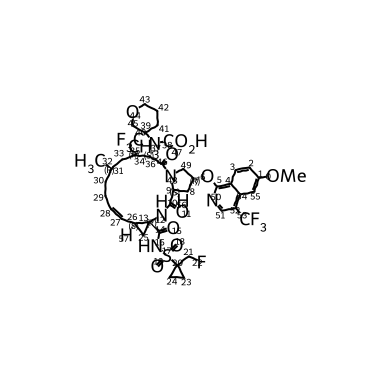 COc1ccc2c(O[C@@H]3C[C@H]4C(=O)N[C@]5(C(=O)NS(=O)(=O)C6(CF)CC6)C[C@H]5C=CCC[C@@H](C)C[C@@H](C)[C@H](N(C(=O)O)C5(C(F)(F)F)CCCOC5)C(=O)N4C3)ncc(C(F)(F)F)c2c1